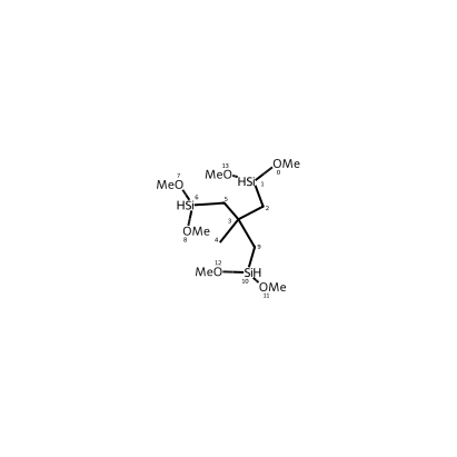 CO[SiH](CC(C)(C[SiH](OC)OC)C[SiH](OC)OC)OC